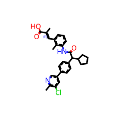 C/C(=C\c1cccc(NC(=O)C(c2ccc(-c3cnc(C)c(Cl)c3)cc2)C2CCCC2)c1C)C(=O)O